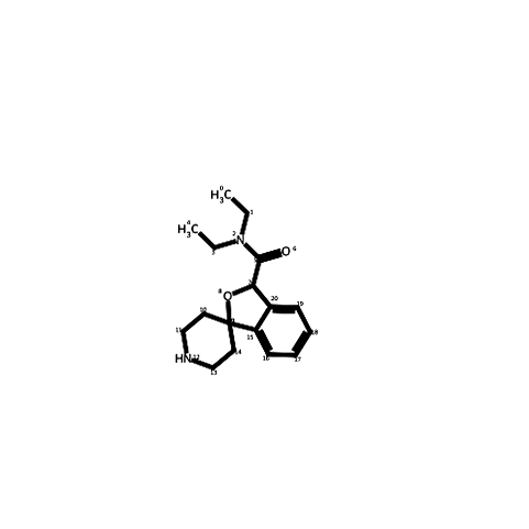 CCN(CC)C(=O)C1OC2(CCNCC2)c2ccccc21